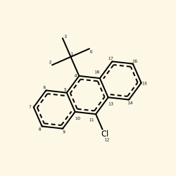 CC(C)(C)c1c2ccccc2c(Cl)c2ccccc12